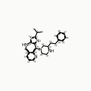 CC(C)c1nc2c(s1)NC=c1cccnc1=C2N1CCNC(CCc2ccccc2)C1